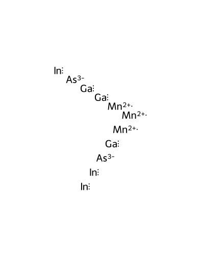 [As-3].[As-3].[Ga].[Ga].[Ga].[In].[In].[In].[Mn+2].[Mn+2].[Mn+2]